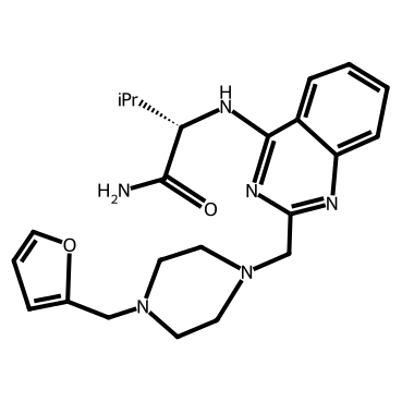 CC(C)[C@H](Nc1nc(CN2CCN(Cc3ccco3)CC2)nc2ccccc12)C(N)=O